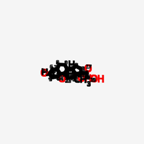 C[C@]12C=CC(=O)C=C1CC[C@H]1[C@@H]3CC[C@](O)(C(=O)CO)[C@@]3(C)CC3O[C@]312